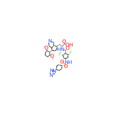 COc1cccc(OC)c1-c1ccc(CC(NC(=O)c2c(F)cc(NS(=O)(=O)c3ccc(-n4cncn4)cc3)cc2F)C(=O)O)c2cnccc12